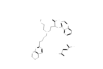 COCCN(CCCCc1ccc2c(n1)NCCC2)CCC(Nc1ncnc2ccccc12)C(=O)O.O=C(O)/C=C/C(=O)O